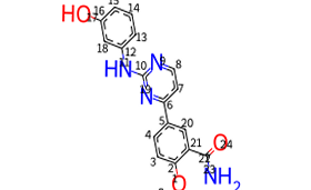 COc1ccc(-c2ccnc(Nc3cccc(O)c3)n2)cc1C(N)=O